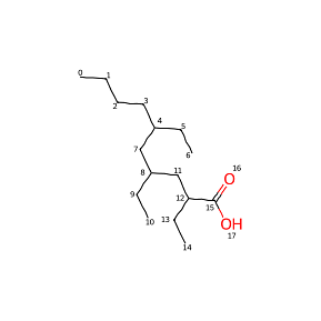 CCCCC(CC)CC(CC)CC(CC)C(=O)O